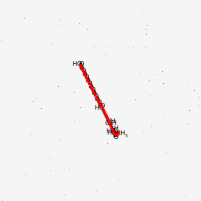 Cc1cc(=O)nc(NC(=O)NCCCCCCNC(=O)NCCCCCCCCCCCCNC(=O)OCCOCCOCCOCCOCCOCCOCCOCCOCCOCCOCCOCCOCCC(=O)O)[nH]1